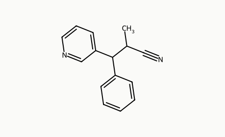 CC(C#N)C(c1ccccc1)c1cccnc1